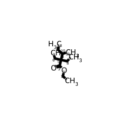 CCOC(=O)C(CC)(CC)C(C)CC